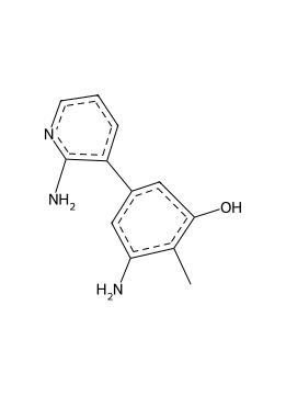 Cc1c(N)cc(-c2cccnc2N)cc1O